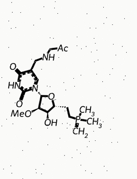 C=P(C)(C)CC[C@H]1O[C@@H](n2cc(CNCC(C)=O)c(=O)[nH]c2=O)[C@H](OC)[C@@H]1O